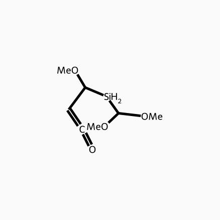 COC(C=C=O)[SiH2]C(OC)OC